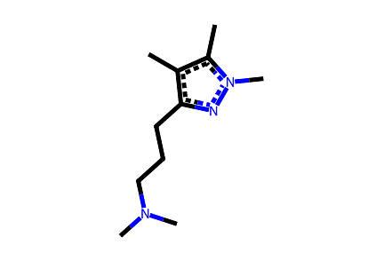 Cc1c(CCCN(C)C)nn(C)c1C